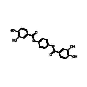 O=C(Oc1ccc(OC(=O)c2ccc(O)c(O)c2)cc1)c1ccc(O)c(O)c1